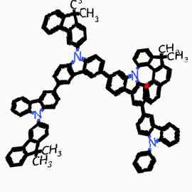 CC1(C)c2ccccc2-c2cc(-n3c4ccccc4c4cc(-c5ccc6c(c5)c5cc(-c7ccc8c9cc(-c%10ccc%11c(c%10)c%10ccccc%10n%11-c%10ccccc%10)ccc9n(-c9cccc%10c9-c9c(ccc%11ccccc9%11)C%10(C)C)c8c7)ccc5n6-c5ccc6c(c5)-c5ccccc5C6(C)C)ccc43)ccc21